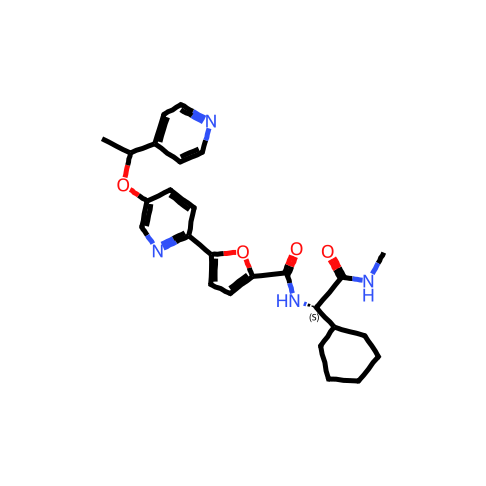 CNC(=O)[C@@H](NC(=O)c1ccc(-c2ccc(OC(C)c3ccncc3)cn2)o1)C1CCCCC1